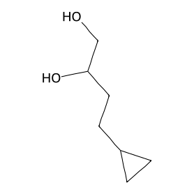 OCC(O)CCC1CC1